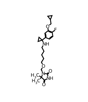 CC1(C)C(=O)NC(=O)N1COCCCCCNC1(c2ccc(F)c(OCC3CC3)c2)CC1